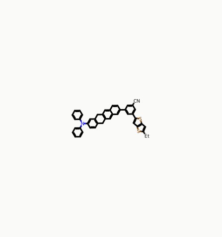 CCc1cc2sc(-c3cc(C#N)cc(-c4ccc5cc6c(cc5c4)Cc4ccc(N(c5ccccc5)c5ccccc5)cc4C6)c3)cc2s1